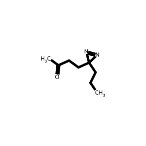 CCCC1(CCC(C)=O)N=N1